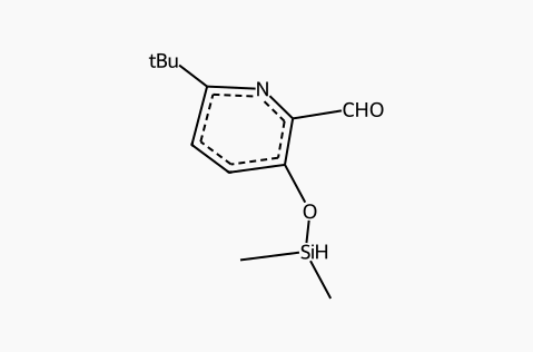 C[SiH](C)Oc1ccc(C(C)(C)C)nc1C=O